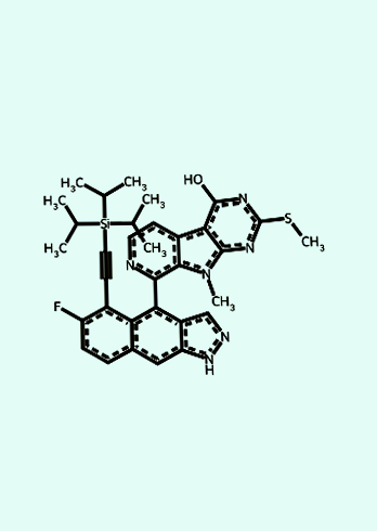 CSc1nc(O)c2c3ccnc(-c4c5cn[nH]c5cc5ccc(F)c(C#C[Si](C(C)C)(C(C)C)C(C)C)c45)c3n(C)c2n1